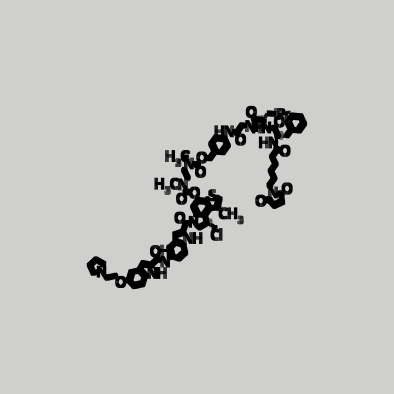 Cc1csc2c(OC(=O)N(C)CCN(C)C(=O)OCc3ccc(NC(=O)CNC(=O)[C@H](CC(C)C)NC(=O)[C@H](Cc4ccccc4)NC(=O)CCCCCN4C(=O)C=CC4=O)cc3)cc3c(c12)[C@H](CCl)CN3C(=O)c1cc2cc(NC(=O)c3cc4cc(OCCN5CCCC5)ccc4[nH]3)ccc2[nH]1